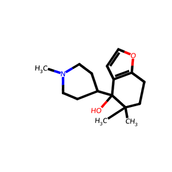 CN1CCC(C2(O)c3ccoc3CCC2(C)C)CC1